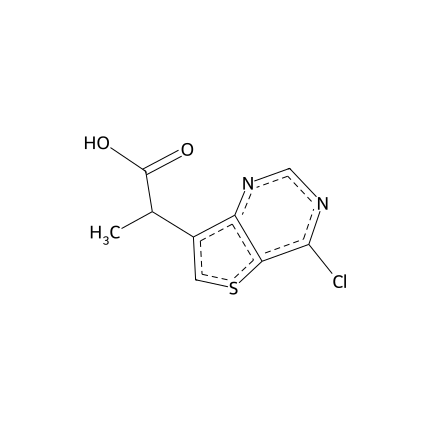 CC(C(=O)O)c1csc2c(Cl)ncnc12